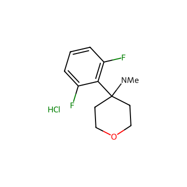 CNC1(c2c(F)cccc2F)CCOCC1.Cl